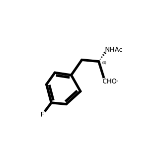 CC(=O)N[C@H]([C]=O)Cc1ccc(F)cc1